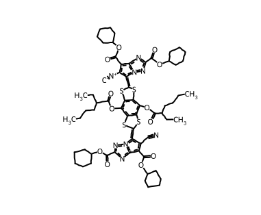 [C-]#[N+]c1c(C(=O)OC2CCCCC2)c2nc(C(=O)OC3CCCCC3)nn2c1=C1Sc2c(OC(=O)C(CC)CCCC)c3c(c(OC(=O)C(CC)CCCC)c2S1)SC(=c1c(C#N)c(C(=O)OC2CCCCC2)c2nc(C(=O)OC4CCCCC4)nn12)S3